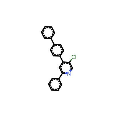 Clc1cnc(-c2ccccc2)cc1-c1ccc(-c2ccccc2)cc1